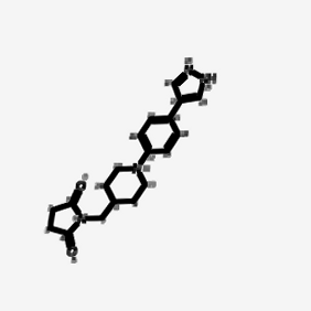 O=C1CCC(=O)N1CC1CCN(c2ccc(-c3cn[nH]c3)cc2)CC1